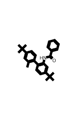 Cc1cc(C(C)(C)C)ccc1-c1ccc(C(C)(C)C)cc1NC(=O)c1ccccc1